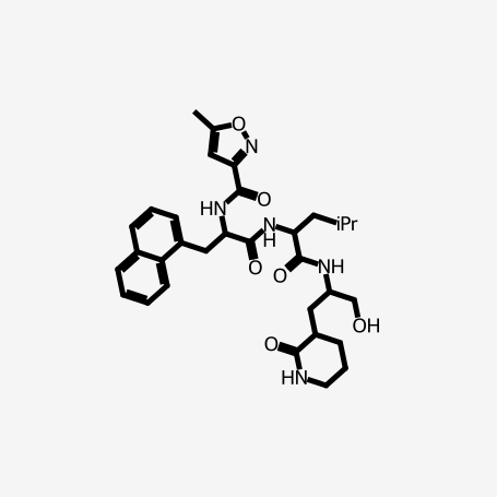 Cc1cc(C(=O)NC(Cc2cccc3ccccc23)C(=O)NC(CC(C)C)C(=O)NC(CO)CC2CCCNC2=O)no1